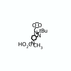 CN(C(=O)O)c1ccc2c(c1)nc(C(C)(C)C)n2CC1COCCO1